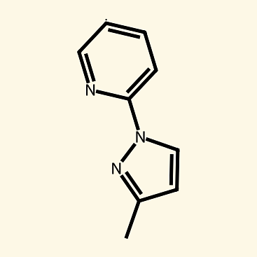 Cc1ccn(-c2cc[c]cn2)n1